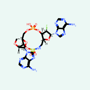 Nc1ncnc2c1ncn2[C@@H]1O[C@@H]2CNS(=O)(=O)O[C@H]3[C@H]4OC[C@]3(COP(=O)(O)O[C@H]2[C@H]1F)O[C@H]4n1cnc2c(N)ncnc21